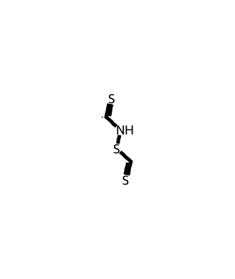 S=[C]NSC=S